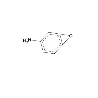 Nc1ccc2c(c1)O2